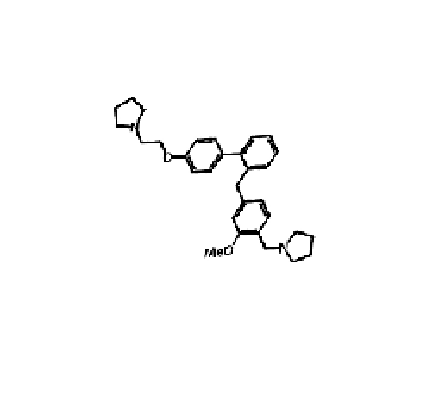 COc1cc(Cc2ccccc2-c2ccc(OCCN3CCCC3)cc2)ccc1CN1CCCC1